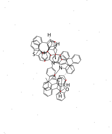 C[C@@H]1C[C@H]2C[C@H]3CC1CC21c2cc(N(c4ccc(-c5ccccc5-c5cccc6sc7ccccc7c56)cc4)c4ccccc4-c4cccc([C@@]5(C)C[C@H]6C[C@H]7C[C@@H](C5)C65c6cc(N(c8ccc(-c9ccccc9-c9cccc%10oc%11ccccc%11c9%10)cc8)c8ccc9c(c8)C(C)(C)c8ccccc8-9)ccc6C(C)(C)c6ccccc6C75)c4)ccc2C(C)(C)c2ccccc2C31